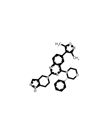 Cc1noc(C)c1-c1ccc2nc(N3CCc4[nH]ncc4C3)nc(N3CCOC[C@@H]3c3ccccc3)c2c1